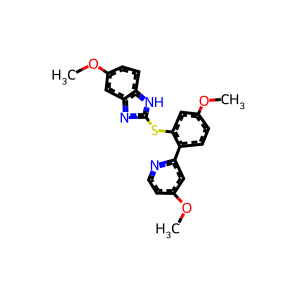 COc1ccnc(-c2ccc(OC)cc2Sc2nc3cc(OC)ccc3[nH]2)c1